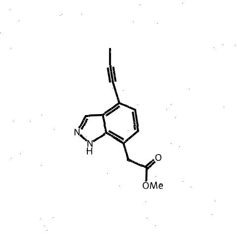 CC#Cc1ccc(CC(=O)OC)c2[nH]ncc12